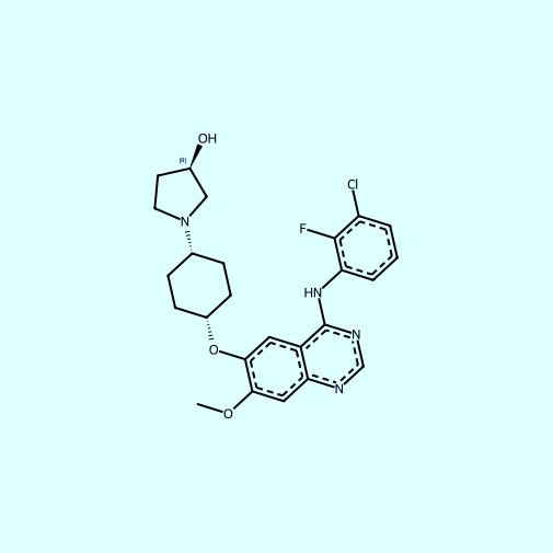 COc1cc2ncnc(Nc3cccc(Cl)c3F)c2cc1O[C@H]1CC[C@@H](N2CC[C@@H](O)C2)CC1